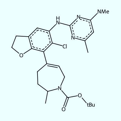 CNc1cc(C)nc(Nc2cc3c(c(C4=CCN(C(=O)OC(C)(C)C)C(C)CC4)c2Cl)OCC3)n1